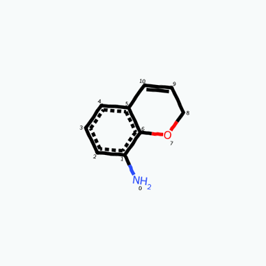 Nc1cccc2c1OCC=C2